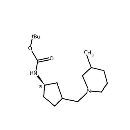 CC1CCCN(CC2CC[C@@H](NC(=O)OC(C)(C)C)C2)C1